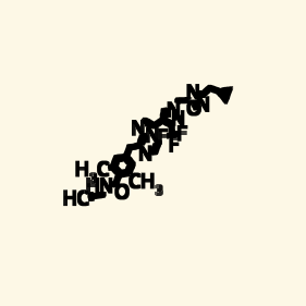 C#CCNC(=O)c1c(C)cc(Cc2nccn3c(-c4cn(Cc5nc(CC6CC6)no5)nc4C(F)(F)F)cnc23)cc1C